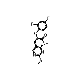 CSc1ncc2cc(Oc3ccc(F)cc3F)c(=O)[nH]c2n1